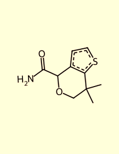 CC1(C)COC(C(N)=O)c2ccsc21